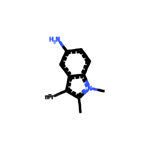 CCCc1c(C)n(C)c2ccc(N)cc12